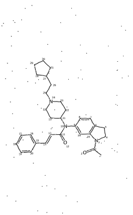 CC(=O)N1CCc2ccc(N(C(=O)/C=C/c3ccccc3)C3CCN(CCC4CCCC4)CC3)cc21